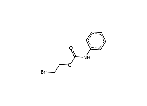 O=C(Nc1ccccc1)OCCBr